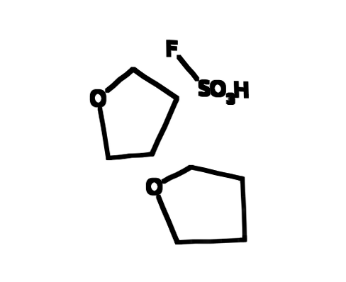 C1CCOC1.C1CCOC1.O=S(=O)(O)F